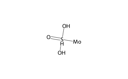 O=[SH](O)(O)[Mo]